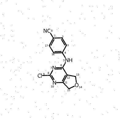 N#Cc1ccc(Nc2nc(Cl)nc3c2COC3)cc1